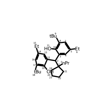 CCCC1(C(c2cc(CC)cc(C(C)(C)C)c2O)c2cc(CC)cc(C(C)(C)C)c2O)CCCC1